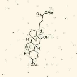 COC(=O)CCC[C@H]1CC[C@H]2[C@@H]3CC[C@@H]4C[C@H](OC(C)=O)CC[C@]4(C)[C@H]3C[C@H](O)[C@]12C